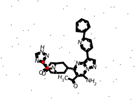 CC(=O)c1c(C2CC3CS(=O)(=O)CC(C2)N3C(=O)c2nc[nH]n2)nc2c(-c3ccc(-c4ccccc4)nc3)cnn2c1N